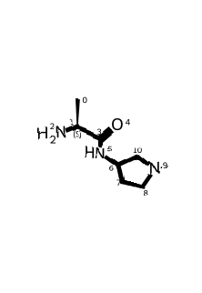 C[C@H](N)C(=O)NC1CC[N]C1